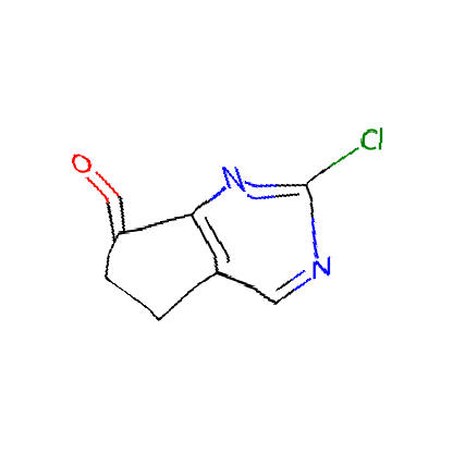 O=C1CCc2cnc(Cl)nc21